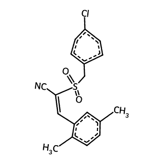 Cc1ccc(C)c(/C=C(/C#N)S(=O)(=O)Cc2ccc(Cl)cc2)c1